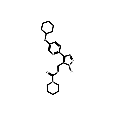 Cn1nnc(-c2ccc(OC3CCCCC3)cn2)c1COC(=O)N1CCCCC1